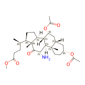 COC(=O)CC[C@@H](C)[C@H]1CC[C@H]2[C@H]3[C@H]([C@H](N)C(=O)[C@]12C)[C@@]1(C)CC[C@@H](OC(C)=O)C[C@H]1C[C@H]3OC(C)=O